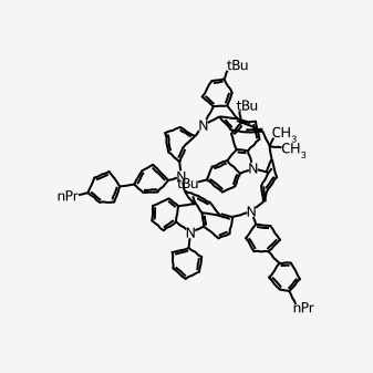 CCCc1ccc(-c2ccc(N3c4cccc(c4)-n4c5ccc(C(C)(C)C)cc5c5cc(ccc54)C(C)(C)c4ccc(cc4-n4c5ccc(C(C)(C)C)cc5c5cc(C(C)(C)C)ccc54)N(c4ccc(-c5ccc(CCC)cc5)cc4)c4ccc5c6c(c3ccc46)-c3ccccc3N5c3ccccc3)cc2)cc1